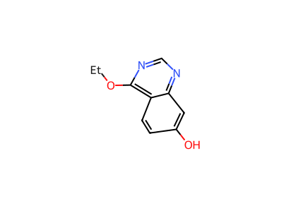 CCOc1ncnc2cc(O)ccc12